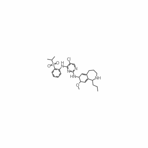 CCCC1NCCCC2=CC(Nc3ncc(Cl)c(Nc4ccccc4S(=O)(=O)C(C)C)n3)C(OC)C=C21